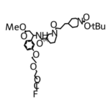 COC(=O)CC(NC(=O)[C@@H]1CCCN(C(=O)CCC2CCN(C(=O)OC(C)(C)C)CC2)C1)c1cccc(OCCOCCOCCF)c1